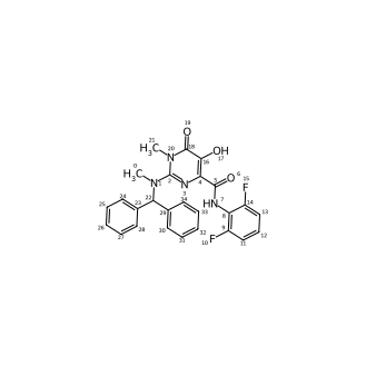 CN(c1nc(C(=O)Nc2c(F)cccc2F)c(O)c(=O)n1C)C(c1ccccc1)c1ccccc1